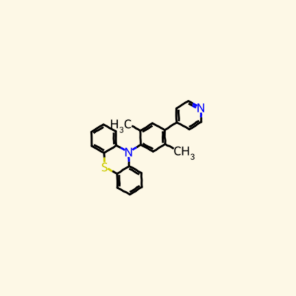 Cc1cc(N2c3ccccc3Sc3ccccc32)c(C)cc1-c1ccncc1